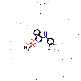 Cc1cc(Nc2cnc(OS(C)(=O)=O)c3c2C2CCC3CC2)ccc1F